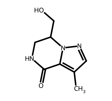 Cc1cnn2c1C(=O)NCC2CO